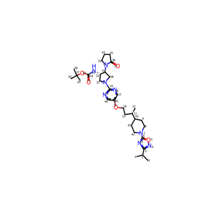 CC(C)c1noc(N2CCC([C@H](C)CCOc3cnc(N4C[C@H](NC(=O)OC(C)(C)C)[C@@H](N5CCCC5=O)C4)nc3)CC2)n1